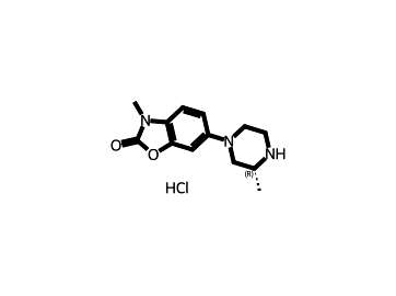 C[C@@H]1CN(c2ccc3c(c2)oc(=O)n3C)CCN1.Cl